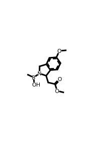 COC(=O)CC1c2ccc(OC)cc2CN1B(C)O